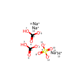 O=C([O-])O.O=C([O-])O.O=S(=O)([O-])[O-].[H+].[Na+].[Na+].[Na+]